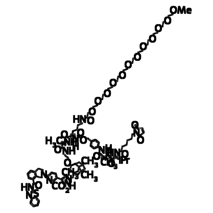 COCCOCCOCCOCCOCCOCCOCCOCCOCCOCCOCCOCC(=O)NCCCC[C@@H](NC(=O)OCc1ccc(NC(=O)[C@H](C)NC(=O)[C@@H](NC(=O)CCCCCN2C(=O)C=CC2=O)C(C)C)cc1)C(=O)N[C@H](C)C(=O)NCCOC12CC3(Cn4ncc(-c5ccc(N6CCc7cccc(C(=O)Nc8nc9ccccc9s8)c7C6)nc5C(=O)O)c4C)CC4(C)CC(C)(C1)C4(C3)C2